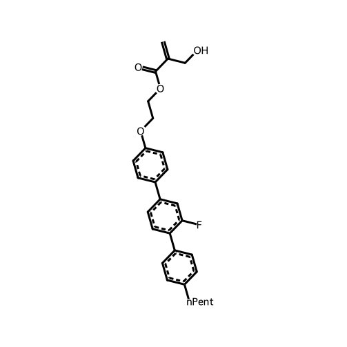 C=C(CO)C(=O)OCCOc1ccc(-c2ccc(-c3ccc(CCCCC)cc3)c(F)c2)cc1